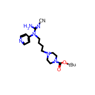 CC(C)(C)OC(=O)N1CCN(CCCCN(C(N)=NC#N)c2ccncc2)CC1